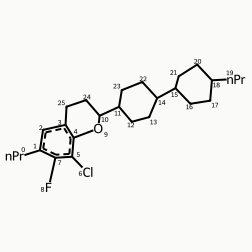 CCCc1cc2c(c(Cl)c1F)OC(C1CCC(C3CCC(CCC)CC3)CC1)CC2